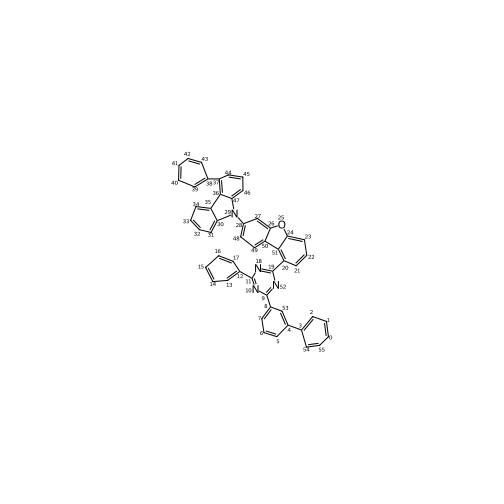 c1ccc(-c2cccc(-c3nc(-c4ccccc4)nc(-c4cccc5oc6cc(-n7c8ccccc8c8c(-c9ccccc9)cccc87)ccc6c45)n3)c2)cc1